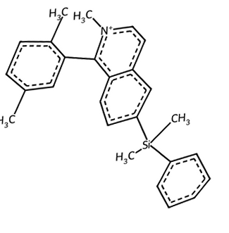 Cc1ccc(C)c(-c2c3ccc([Si](C)(C)c4ccccc4)cc3cc[n+]2C)c1